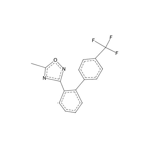 Cc1nc(-c2[c]cccc2-c2ccc(C(F)(F)F)cc2)no1